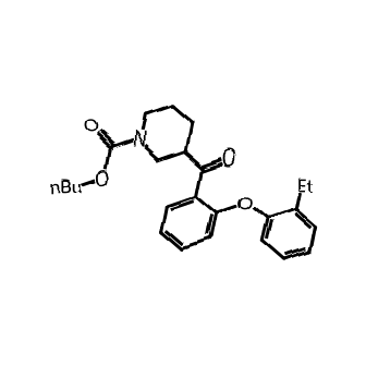 CCCCOC(=O)N1CCCC(C(=O)c2ccccc2Oc2ccccc2CC)C1